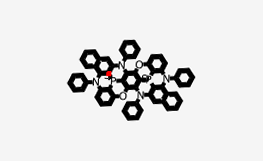 S=P12c3c4cccc3N(c3ccccc3)c3c1c(cc1ccccc31)N(c1ccccc1)c1c3c5c(c(c12)O4)N(c1ccccc1)c1cc2ccccc2c2c1P5(=S)c1c(cccc1N2c1ccccc1)O3